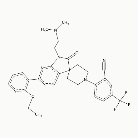 CCOc1ncccc1-c1ccc2c(n1)N(CCN(C)C)C(=O)C21CCN(c2ccc(C(F)(F)F)cc2C#N)CC1